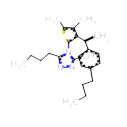 C=C(c1ccc(CCCC)cc1)c1c(-n2c(C)nnc2CCCC)sc(C)c1C